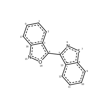 c1ccc2c(-c3nsc4ccccc34)onc2c1